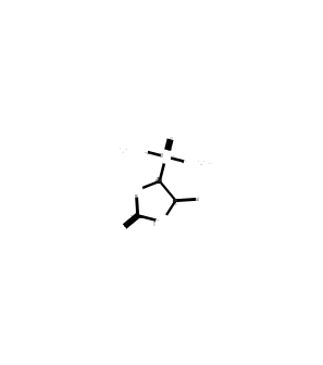 COP(=O)(OC)C1OC(=O)OC1F